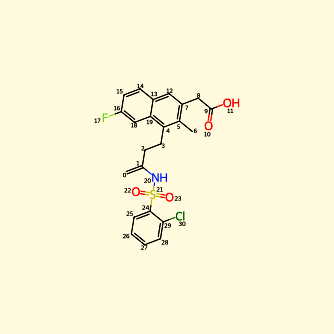 C=C(CCc1c(C)c(CC(=O)O)cc2ccc(F)cc12)NS(=O)(=O)c1ccccc1Cl